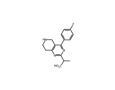 CC(C(=O)O)c1nc2c(c(-c3ccc(F)cc3)n1)CNCC2